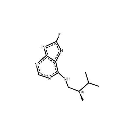 CC(C)[C@@H](C)CNc1ncnc2[nH]c(F)nc12